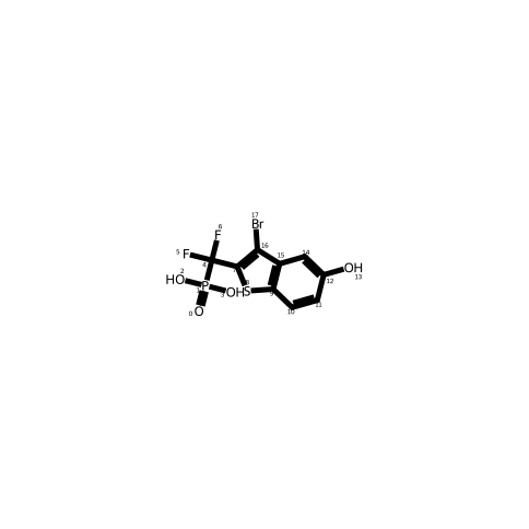 O=P(O)(O)C(F)(F)c1sc2ccc(O)cc2c1Br